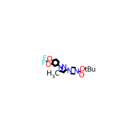 Cc1cc(N2CCN(C(=O)OC(C)(C)C)CC2)nn1-c1ccc2c(c1)OC(F)(F)O2